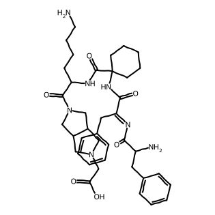 NCCCCC(NC(=O)C1(NC(=O)/C(Cc2ccccc2)=N/C(=O)C(N)Cc2ccccc2)CCCCC1)C(=O)N1CC2CN(CC(=O)O)CC2C1